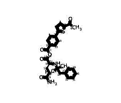 CC(=O)c1ccc(-c2ccc(C(=O)OC(=O)[C@H](CCC(N)=O)NC(C)(C)Cc3ccccc3)cc2)s1